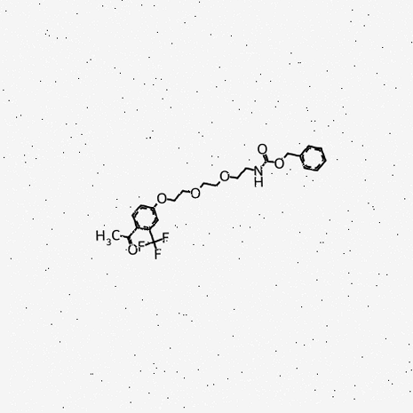 CC(=O)c1ccc(OCCOCCOCCNC(=O)OCc2ccccc2)cc1C(F)(F)F